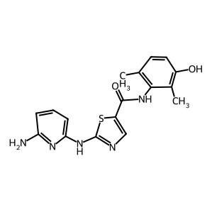 Cc1ccc(O)c(C)c1NC(=O)c1cnc(Nc2cccc(N)n2)s1